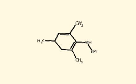 CCCNC1=C(C)CC(C)C=C1C